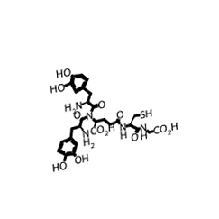 N[C@@H](Cc1ccc(O)c(O)c1)C(=O)N(C(=O)[C@@H](N)Cc1ccc(O)c(O)c1)[C@@H](CCC(=O)N[C@@H](CS)C(=O)NCC(=O)O)C(=O)O